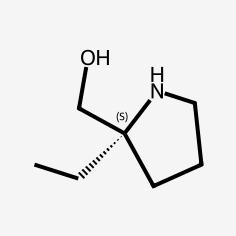 CC[C@@]1(CO)CCCN1